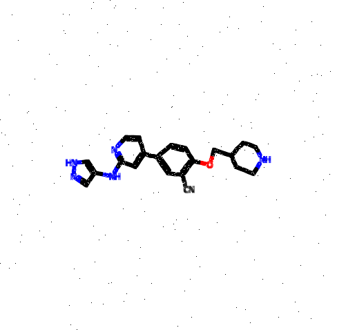 N#Cc1cc(-c2ccnc(Nc3cn[nH]c3)c2)ccc1OCC1CCNCC1